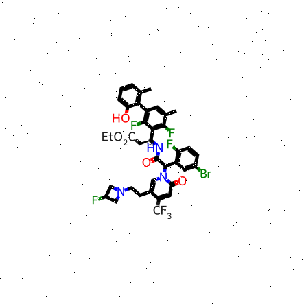 CCOC(=O)C[C@H](NC(=O)C(c1cc(Br)ccc1F)n1cc(CCN2CC(F)C2)c(C(F)(F)F)cc1=O)c1c(F)c(C)cc(-c2c(C)cccc2O)c1F